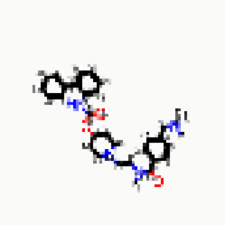 CCN(C)Cc1ccc(C(=O)N(C)CCN2CCC(OC(=O)Nc3ccccc3-c3ccccc3)CC2)cc1